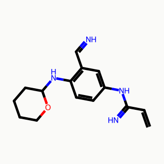 C=CC(=N)Nc1ccc(NC2CCCCO2)c(C=N)c1